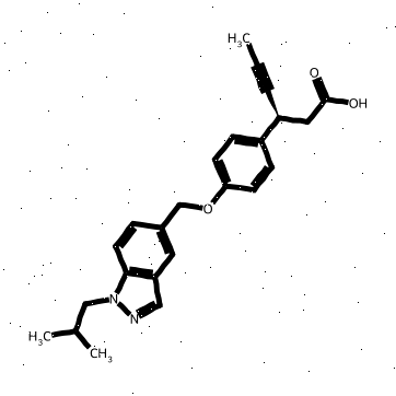 CC#C[C@@H](CC(=O)O)c1ccc(OCc2ccc3c(cnn3CC(C)C)c2)cc1